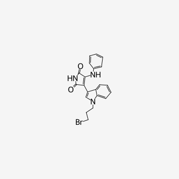 O=C1NC(=O)C(c2cn(CCCBr)c3ccccc23)=C1Nc1ccccc1